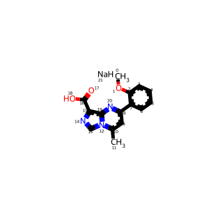 COc1ccccc1-c1cc(C)n2cnc(C(=O)O)c2n1.[NaH]